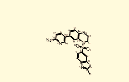 Cc1nc2ccc(S(=O)(=O)N3CCSc4ccc(-c5ccc(C#N)nc5)cc43)cc2s1